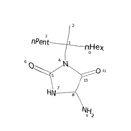 CCCCCCC(C)(CCCCC)N1C(=O)NC(N)C1=O